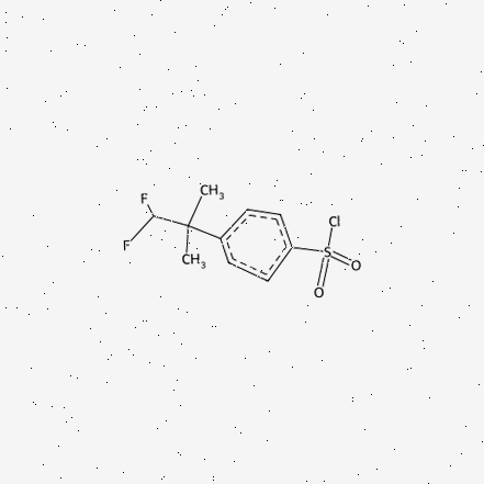 CC(C)(c1ccc(S(=O)(=O)Cl)cc1)C(F)F